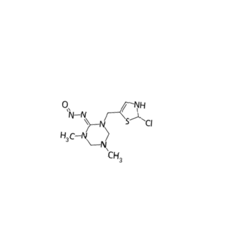 CN1CN(C)/C(=N\N=O)N(CC2=CNC(Cl)S2)C1